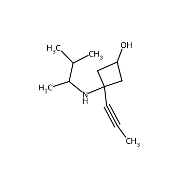 CC#CC1(NC(C)C(C)C)CC(O)C1